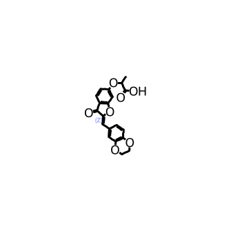 CC(Oc1ccc2c(c1)O/C(=C\c1ccc3c(c1)OCCO3)C2=O)C(=O)O